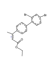 CCOC(=O)/C=C(/C)c1ccc(-c2ccc(Br)cc2Br)cc1